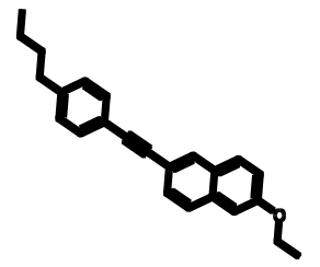 CCCCc1ccc(C#Cc2ccc3cc(OCC)ccc3c2)cc1